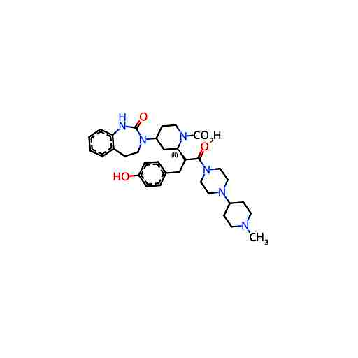 CN1CCC(N2CCN(C(=O)C(Cc3ccc(O)cc3)[C@H]3CC(N4CCc5ccccc5NC4=O)CCN3C(=O)O)CC2)CC1